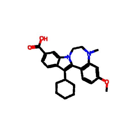 COc1ccc2c(c1)N(C)CCn1c-2c(C2CCCCC2)c2ccc(C(=O)O)cc21